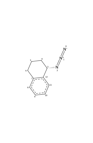 [N-]=[N+]=N[C@H]1CCCc2ccccc21